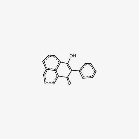 O=C1C(c2ccccc2)=C(O)c2cccc3cccc1c23